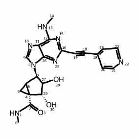 CNC(=O)[C@]12CC1[C@@H](n1cnc3c(NC)nc(C#Cc4ccncc4)nc31)C(O)[C@@H]2O